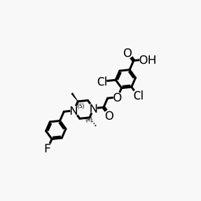 C[C@@H]1CN(Cc2ccc(F)cc2)[C@@H](C)CN1C(=O)COc1c(Cl)cc(C(=O)O)cc1Cl